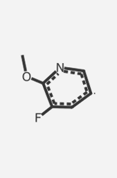 COc1nc[c]cc1F